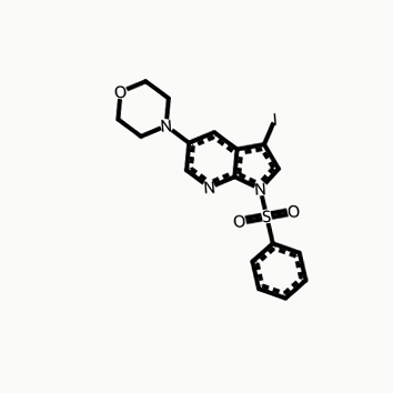 O=S(=O)(c1ccccc1)n1cc(I)c2cc(N3CCOCC3)cnc21